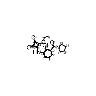 CCOc1c(Nc2cccc(C(=O)N3CCCC3)c2O)c(=O)c1=O